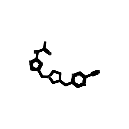 CC(=O)Nc1ncc(CN2CCC(Cc3cnc(C#N)cn3)C2)s1